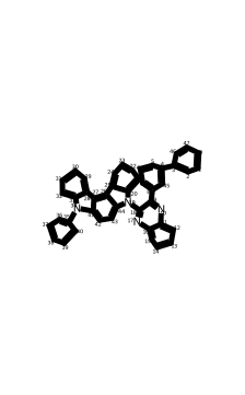 c1ccc(-c2cccc(-c3nc4ccccc4nc3-n3c4ccccc4c4c5c6ccccc6n(-c6ccccc6)c5ccc43)c2)cc1